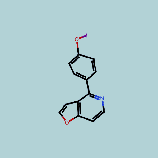 IOc1ccc(-c2nccc3occc23)cc1